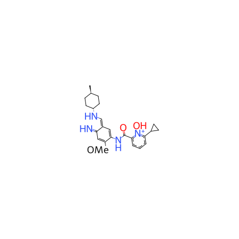 COC1=CC(=N)/C(=C\N[C@H]2CC[C@H](C)CC2)C=C1NC(=O)c1cccc(C2CC2)[n+]1O